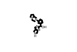 OC(c1cccc(N2CCN3CCCC3C2)c1)c1ncc2c(n1)CNC2